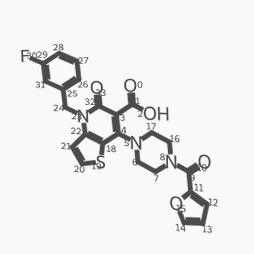 O=C(O)c1c(N2CCN(C(=O)c3ccco3)CC2)c2sccc2n(Cc2cccc(F)c2)c1=O